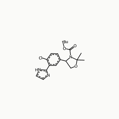 CC(C)(C)OC(=O)N1C(c2ccc(Cl)c(-c3ncc[nH]3)c2)COC1(C)C